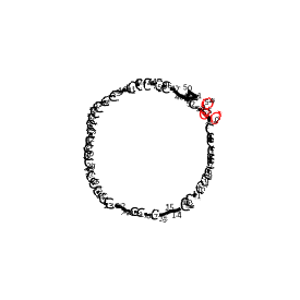 O=C1CCCCCCCCCCCCCCCCCCCCCCCCCCCCCCCCCCCCCCCCCCCCCCCC2(CC2)CC(=O)O1